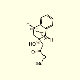 CC(C)(C)OC(=O)C[C@@]1(O)C[C@H]2CC[C@@H]1c1ccccc12